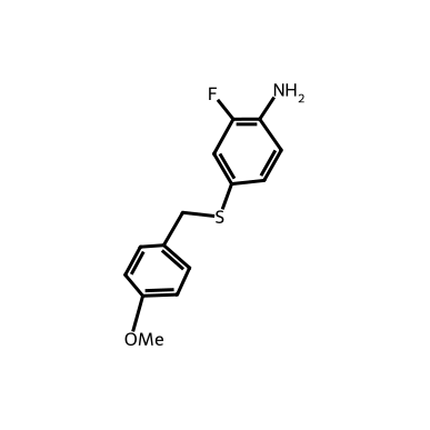 COc1ccc(CSc2ccc(N)c(F)c2)cc1